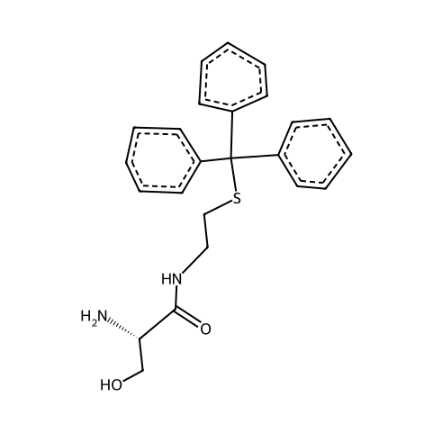 N[C@@H](CO)C(=O)NCCSC(c1ccccc1)(c1ccccc1)c1ccccc1